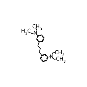 CCN(CC)c1cccc(CCCc2cccc(N(CC)CC)c2)c1